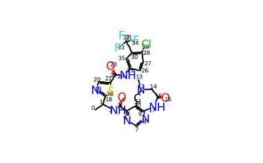 CC(NC(=O)c1ncnc2c1CN(C)CC(=O)N2)c1ncc(C(=O)Nc2ccc(Cl)c(C(F)(F)F)c2)s1